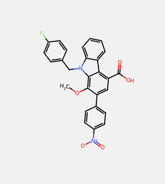 COc1c(-c2ccc([N+](=O)[O-])cc2)cc(C(=O)O)c2c3ccccc3n(Cc3ccc(F)cc3)c12